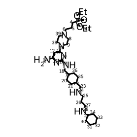 CCOP(=O)(CCCN1CCN(c2cc(N)nc(NCC3CCC(CNCCCNC4CCCCC4)CC3)n2)CC1)OCC